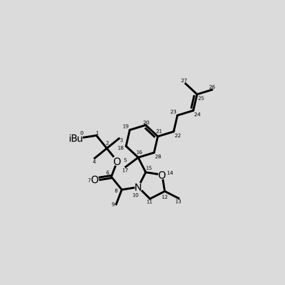 CCC(C)CC(C)(C)OC(=O)C(C)N1CC(C)OC1C1(C)CCC=C(CCC=C(C)C)C1